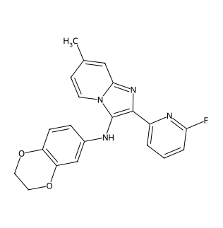 Cc1ccn2c(Nc3ccc4c(c3)OCCO4)c(-c3cccc(F)n3)nc2c1